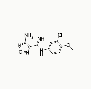 COc1ccc(NC(=N)c2nonc2N)cc1Cl